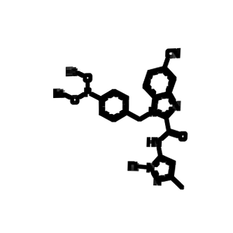 CCOP(OCC)c1ccc(Cn2c(C(=O)Nc3cc(C)nn3CC)nc3cc(C#N)ccc32)cc1